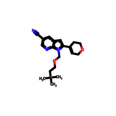 C[Si](C)(C)CCOCn1c(C2=CCOCC2)cc2cc(C#N)cnc21